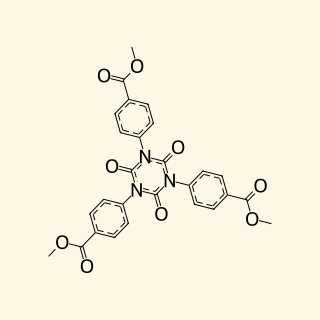 COC(=O)c1ccc(-n2c(=O)n(-c3ccc(C(=O)OC)cc3)c(=O)n(-c3ccc(C(=O)OC)cc3)c2=O)cc1